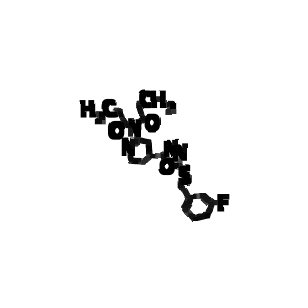 C=CC(=O)N(C(=O)C=C)c1cc(-c2nnc(SCc3cccc(F)c3)o2)ccn1